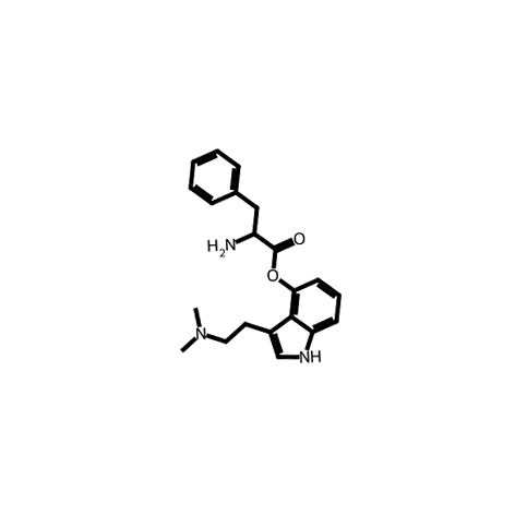 CN(C)CCc1c[nH]c2cccc(OC(=O)C(N)Cc3ccccc3)c12